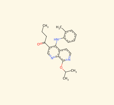 CCCC(=O)c1cnc2c(OC(C)C)nccc2c1Nc1ccccc1C